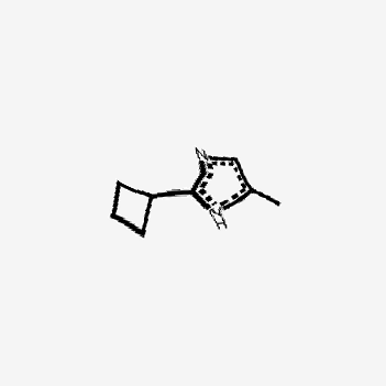 Cc1cnc(C2CCC2)[nH]1